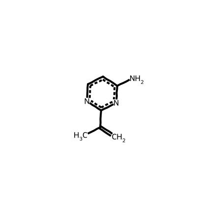 C=C(C)c1nccc(N)n1